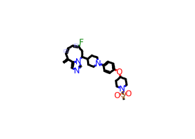 C=C1/C=C\C=C(\F)CC(C2CCN(c3ccc(OC4CCN(S(C)(=O)=O)CC4)cc3)CC2)n2cncc21